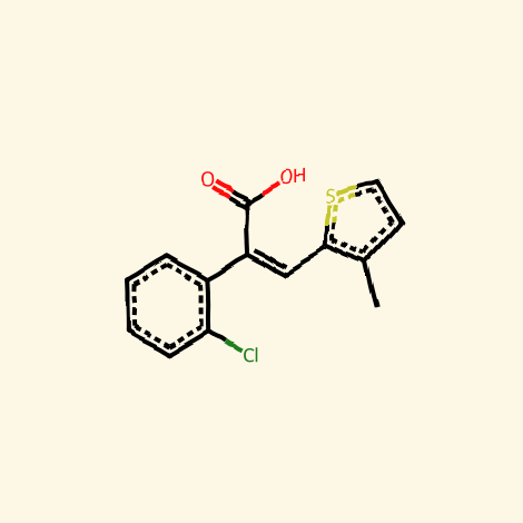 Cc1ccsc1C=C(C(=O)O)c1ccccc1Cl